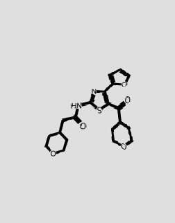 O=C(CC1CCOCC1)Nc1nc(-c2ccco2)c(C(=O)C2CCOCC2)s1